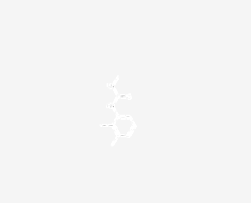 CNC(=S)Nc1cccc(C)c1C